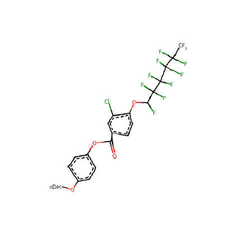 CCCCCCCCCCOc1ccc(OC(=O)c2ccc(OC(F)C(F)(F)C(F)(F)C(F)(F)C(F)(F)C(F)(F)F)c(Cl)c2)cc1